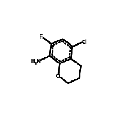 Nc1c(F)cc(Cl)c2c1OCCC2